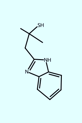 CC(C)(S)Cc1nc2ccccc2[nH]1